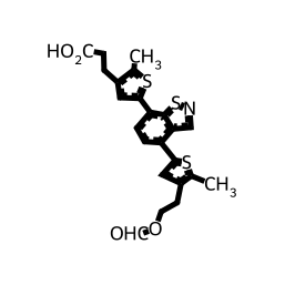 Cc1sc(-c2ccc(-c3cc(CCC(=O)O)c(C)s3)c3sncc23)cc1CCOC=O